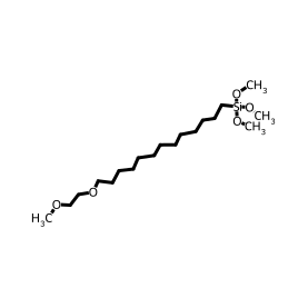 COCCOCCCCCCCCCCCCC[Si](OC)(OC)OC